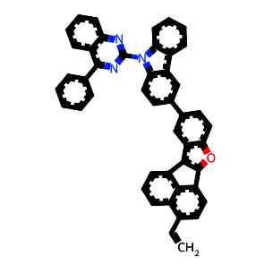 C=Cc1ccc2c3c(cccc13)-c1c-2oc2ccc(-c3ccc4c(c3)c3ccccc3n4-c3nc(-c4ccccc4)c4ccccc4n3)cc12